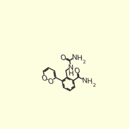 NC(=O)NCc1c(C(N)=O)cccc1C1=CC=COO1